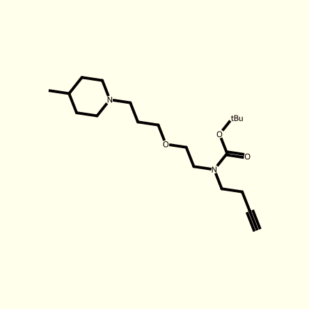 C#CCCN(CCOCCCN1CCC(C)CC1)C(=O)OC(C)(C)C